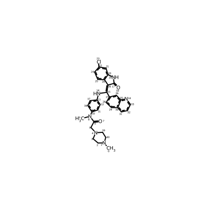 CN1CCN(CC(=O)N(C)c2ccc(NC(=C3C(=O)Nc4cc(Cl)ccc43)c3ccc4cccnc4c3)cc2)CC1